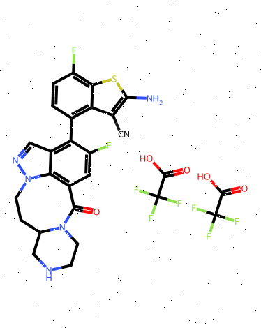 N#Cc1c(N)sc2c(F)ccc(-c3c(F)cc4c5c3cnn5CCC3CNCCN3C4=O)c12.O=C(O)C(F)(F)F.O=C(O)C(F)(F)F